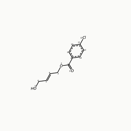 O=C(OC/C=C/CO)c1ccc(Cl)cc1